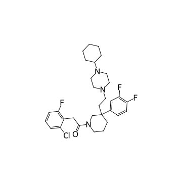 O=C(Cc1c(F)cccc1Cl)N1CCCC(CCN2CCN(C3CCCCC3)CC2)(c2ccc(F)c(F)c2)C1